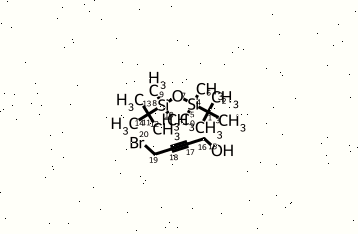 CC(C)(C)[Si](C)(C)O[Si](C)(C)C(C)(C)C.OCC#CCBr